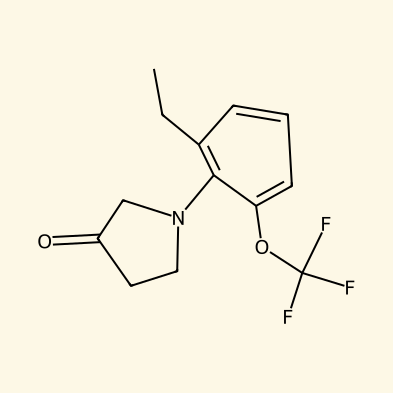 CCc1cccc(OC(F)(F)F)c1N1CCC(=O)C1